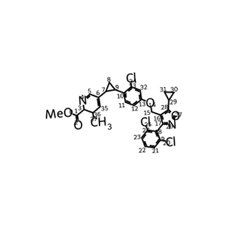 COC(=O)C1N=CC(C2CC2c2ccc(OCc3c(-c4c(Cl)cccc4Cl)noc3C3CC3)cc2Cl)=CC1C